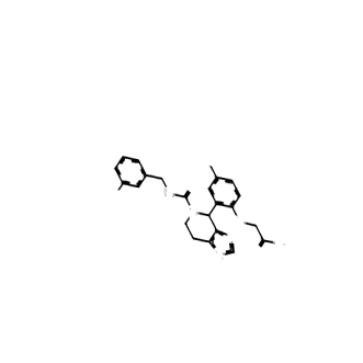 O=C(O)COc1ccc(Cl)cc1C1c2scnc2CCN1C(=O)NCc1cccc(F)c1